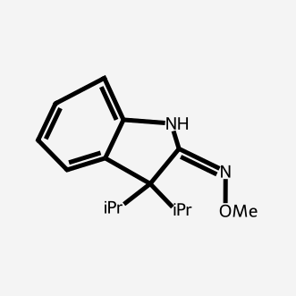 CO/N=C1/Nc2ccccc2C1(C(C)C)C(C)C